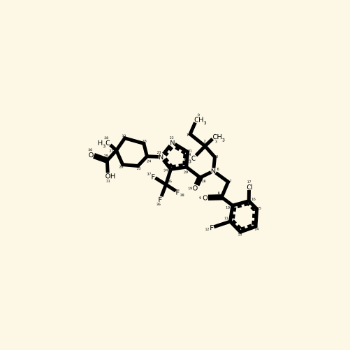 CCC(C)(C)CN(CC(=O)c1c(F)cccc1Cl)C(=O)c1cnn(C2CCC(C)(C(=O)O)CC2)c1C(F)(F)F